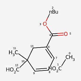 CC(=O)O.CCCCOC(=O)C1=CC=CC(C)(C(=O)O)C1